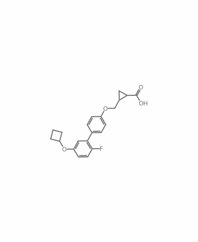 O=C(O)C1CC1COc1ccc(-c2cc(OC3CCC3)ccc2F)cc1